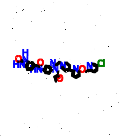 O=C(Nc1ccc2c(c1)nc(CN1CC=C(c3cccc(OCc4ccc(Cl)cn4)n3)CC1)n2C[C@@H]1CCO1)c1ccc2[nH]c(=O)[nH]c2c1